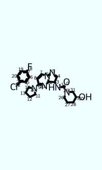 O=C(NC1C=NN2C=CC(N3CCC[C@@H]3c3cc(F)ccc3Cl)=NC12)N1CCC[C@@H](O)C1